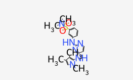 Cc1cn(C)c(Nc2ccnc(Nc3cccc(S(=O)(=O)N(C)C)c3)n2)c1C